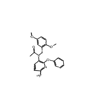 COc1ccc(OC)c(CN(C(C)=O)c2ccc([18F])nc2Oc2ccccc2)c1